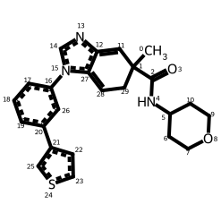 CC1(C(=O)NC2CCOCC2)C=c2ncn(-c3cccc(-c4ccsc4)c3)c2=CC1